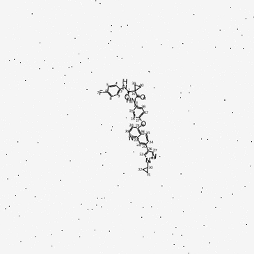 O=C(Nc1ccc(F)cc1)C1(C(=O)Nc2ccc(Oc3ccnc4cc(-c5cnn(C6CC6)c5)ccc34)cc2)CC1